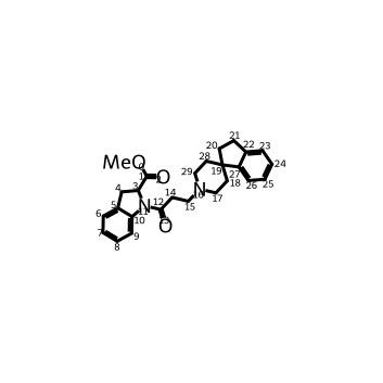 COC(=O)C1Cc2ccccc2N1C(=O)CCN1CCC2(CCc3ccccc32)CC1